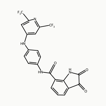 O=C1Nc2c(C(=O)Nc3ccc(Nc4cc(C(F)(F)F)nc(C(F)(F)F)c4)cc3)cccc2C1=O